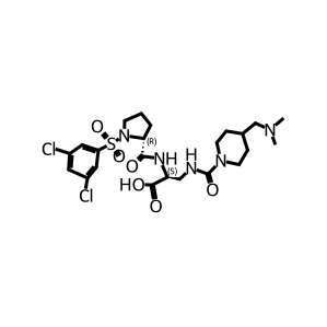 CN(C)CC1CCN(C(=O)NC[C@H](NC(=O)[C@H]2CCCN2S(=O)(=O)c2cc(Cl)cc(Cl)c2)C(=O)O)CC1